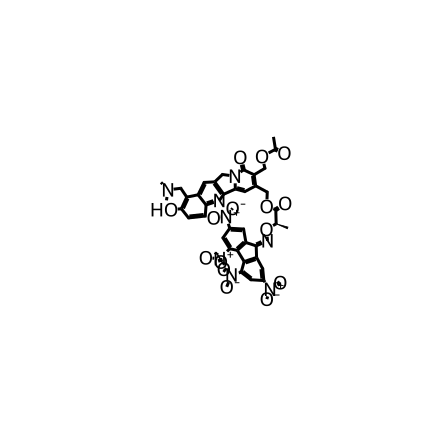 CC(=O)OCc1c(COC(=O)[C@@H](C)ON=C2c3cc([N+](=O)[O-])cc([N+](=O)[O-])c3-c3c2cc([N+](=O)[O-])cc3[N+](=O)[O-])cc2n(c1=O)Cc1cc3c(CN(C)C)c(O)ccc3nc1-2